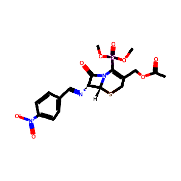 COP(=O)(OC)C1=C(COC(C)=O)CS[C@@H]2[C@H](/N=C/c3ccc([N+](=O)[O-])cc3)C(=O)N12